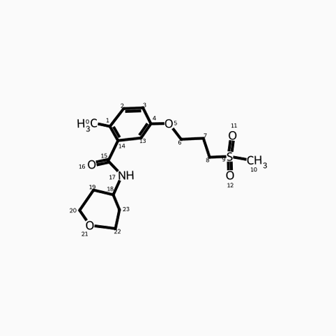 Cc1ccc(OCCCS(C)(=O)=O)cc1C(=O)NC1CCOCC1